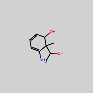 CC(O)C1(C)C(N)=CC=CC1O